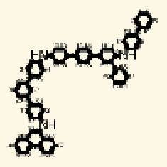 c1ccc(-c2ccc(Nc3ccc(-c4ccc(-c5ccc(Nc6ccc(-c7cccc(-c8ccc(Nc9cc%10ccccc%10c%10ccccc9%10)cc8)c7)cc6)cc5)cc4)cc3-c3ccccc3)cc2)cc1